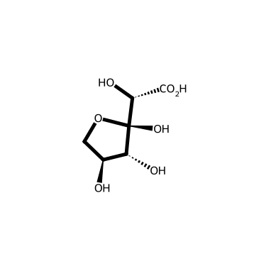 O=C(O)[C@@H](O)[C@@]1(O)OC[C@H](O)[C@H]1O